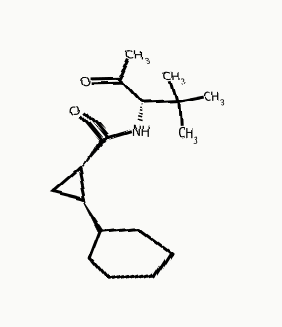 CC(=O)[C@@H](NC(=O)[C@@H]1C[C@@H]1C1CCCCC1)C(C)(C)C